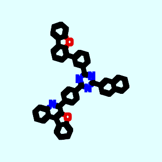 c1cc(-c2nc(-c3ccc(-c4nc5ccccc5c5c4oc4ccccc45)cc3)nc(-c3ccc4ccccc4c3)n2)cc(-c2cccc3c2oc2ccccc23)c1